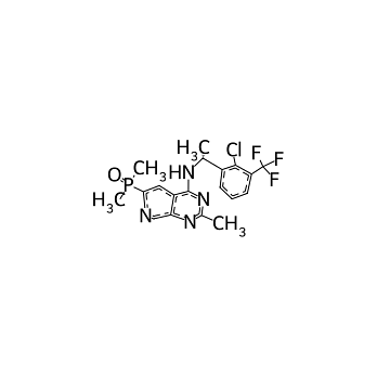 Cc1nc(N[C@H](C)c2cccc(C(F)(F)F)c2Cl)c2cc(P(C)(C)=O)ncc2n1